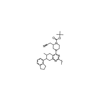 CSc1nc2c(c(N3CCN(C(=O)OC(C)(C)C)C(CC#N)C3)n1)CC(C)C(c1cccc3c1CCC3)C2